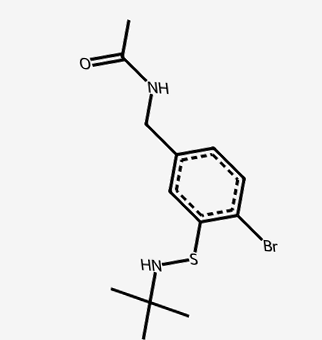 CC(=O)NCc1ccc(Br)c(SNC(C)(C)C)c1